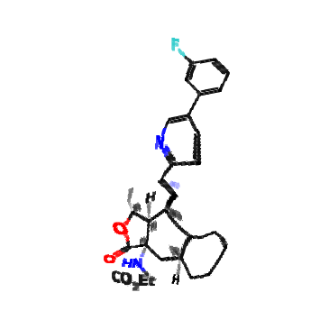 CCOC(=O)N[C@@]12C[C@@H]3CCCCC3[C@H](/C=C/c3ccc(-c4cccc(F)c4)cn3)[C@@H]1[C@@H](C)OC2=O